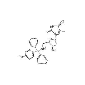 COc1ccc(C(NC[C@H]2O[C@@H](n3cc(C)c(=O)[nH]c3=O)C[C@H]2O)(c2ccccc2)c2ccccc2)cc1